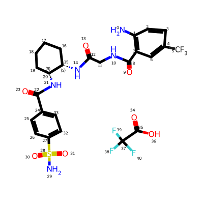 Nc1ccc(C(F)(F)F)cc1C(=O)NCC(=O)N[C@H]1CCCC[C@H]1NC(=O)c1ccc(S(N)(=O)=O)cc1.O=C(O)C(F)(F)F